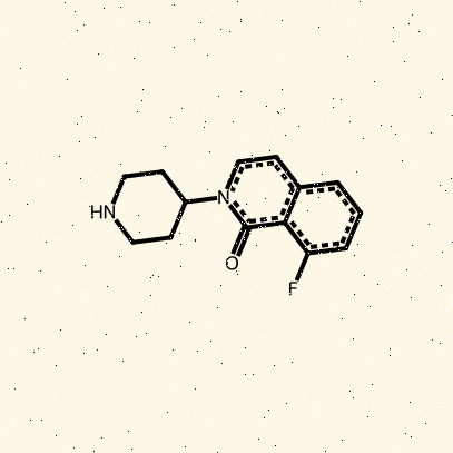 O=c1c2c(F)cccc2ccn1C1CCNCC1